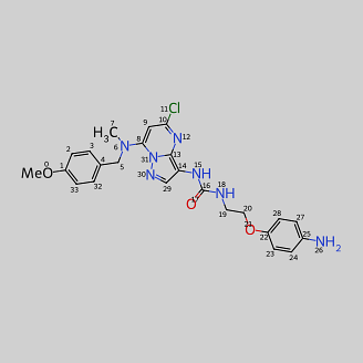 COc1ccc(CN(C)c2cc(Cl)nc3c(NC(=O)NCCOc4ccc(N)cc4)cnn23)cc1